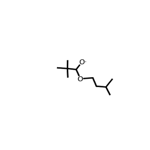 CC(C)CCOC([O])C(C)(C)C